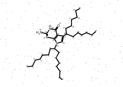 CCCCCCCC(CCCCCCC)n1cc(C(CCCCCC)CCCCCC)c2c(=O)[nH]c(N)nc21